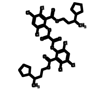 CC(CCOC(=O)c1c(Cl)c(Cl)cc(Cl)c1OC(=O)C(=O)Oc1c(Cl)cc(Cl)c(Cl)c1C(=O)OCCC(C)C1CCCC1)C1CCCC1